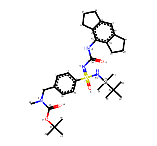 CN(Cc1ccc(S(=O)(=NC(=O)Nc2c3c(cc4c2CCC4)CCC3)N[Si](C)(C)C(C)(C)C)cc1)C(=O)OC(C)(C)C